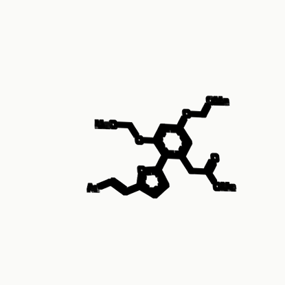 COCOc1cc(CC(=O)OC)c(-c2ccc(C=CC(C)=O)o2)c(OCOC)c1